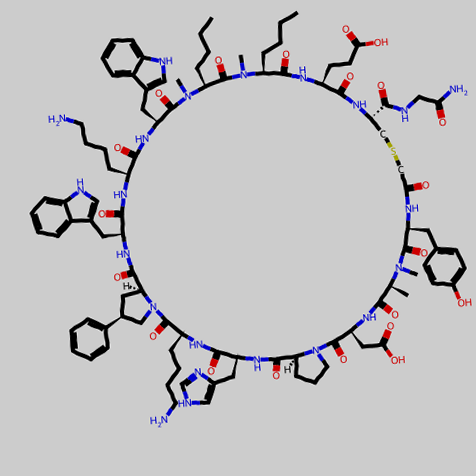 CCCC[C@H]1C(=O)N(C)[C@@H](CCCC)C(=O)N[C@@H](CCC(=O)O)C(=O)N[C@H](C(=O)NCC(N)=O)CSCC(=O)N[C@@H](Cc2ccc(O)cc2)C(=O)N(C)[C@@H](C)C(=O)N[C@@H](CC(=O)O)C(=O)N2CCC[C@H]2C(=O)N[C@@H](Cc2c[nH]cn2)C(=O)N[C@@H](CCCCN)C(=O)N2C[C@@H](c3ccccc3)C[C@H]2C(=O)N[C@@H](Cc2c[nH]c3ccccc23)C(=O)N[C@@H](CCCCN)C(=O)N[C@@H](Cc2c[nH]c3ccccc23)C(=O)N1C